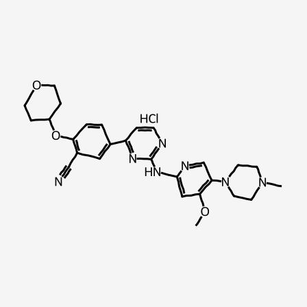 COc1cc(Nc2nccc(-c3ccc(OC4CCOCC4)c(C#N)c3)n2)ncc1N1CCN(C)CC1.Cl